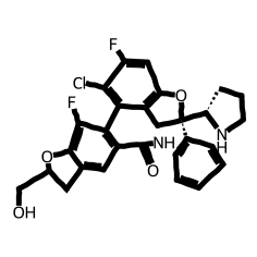 NC(=O)c1cc2c(c(F)c1-c1c(Cl)c(F)cc3c1C[C@](c1ccccc1)([C@@H]1CCCN1)O3)OC(CO)C2